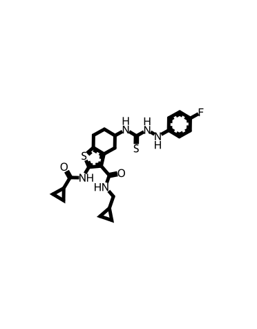 O=C(NCC1CC1)c1c(NC(=O)C2CC2)sc2c1CC(NC(=S)NNc1ccc(F)cc1)CC2